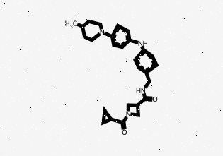 CC1CCN(c2ccc(Nc3ccc(CNC(=O)C4CN(C(=O)C5CC5)C4)cc3)cc2)CC1